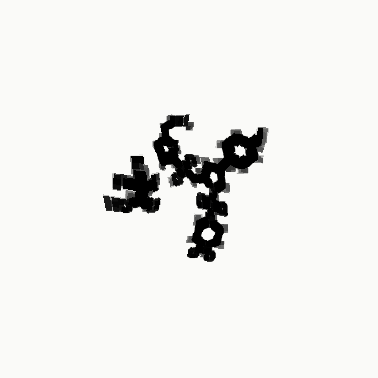 NCc1ccc(S(=O)(=O)CC2CC(c3ccc(F)cc3)CN2S(=O)(=O)N2CCS(=O)(=O)CC2)s1.O=C(O)C(F)(F)F